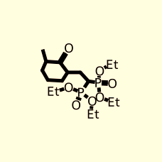 CCOP(=O)(OCC)C(CC1CCCC(C)C1=O)P(=O)(OCC)OCC